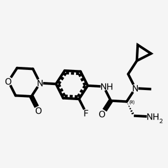 CN(CC1CC1)[C@H](CN)C(=O)Nc1ccc(N2CCOCC2=O)cc1F